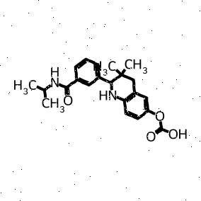 CC(C)NC(=O)c1cccc(C2Nc3ccc(OC(=O)O)cc3CC2(C)C)c1